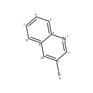 [S]c1cnc2ccccc2c1